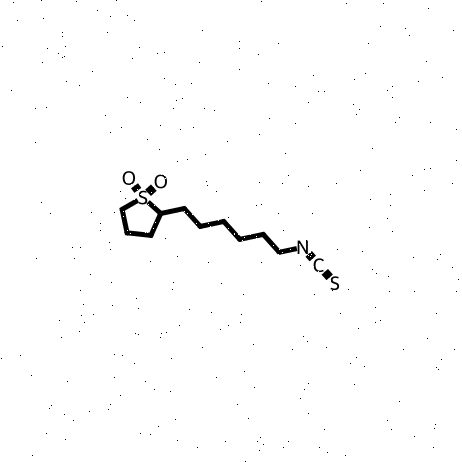 O=S1(=O)CCCC1CCCCCCN=C=S